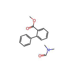 CN(C)C=O.COC(=O)c1ccccc1-c1ccccc1